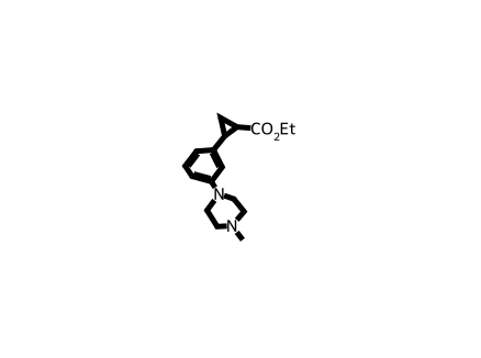 CCOC(=O)C1CC1c1cccc(N2CCN(C)CC2)c1